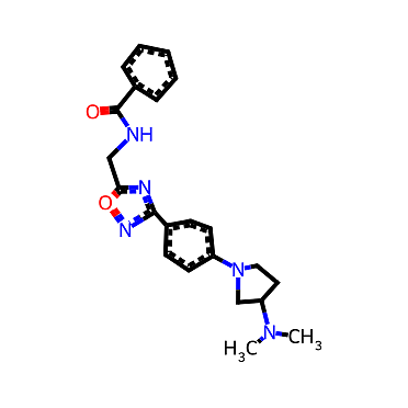 CN(C)C1CCN(c2ccc(-c3noc(CNC(=O)c4ccccc4)n3)cc2)C1